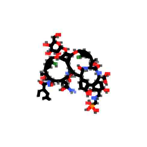 CC[C@H](CC(C)C)C(=O)N[C@H]1C(=O)C[C@@H](CC(N)=O)C(=O)N[C@H]2C(=O)CC3C(=O)N[C@H](C(=O)N[C@H](C(=O)O)c4cc(O)c(CNCP(=O)(O)O)c(O)c4-c4cc3ccc4O)[C@H](O)c3ccc(c(Cl)c3)Oc3cc2cc(c3OC2OC(CO)C(O)C(O)C2O)Oc2ccc(cc2Cl)[C@H]1O